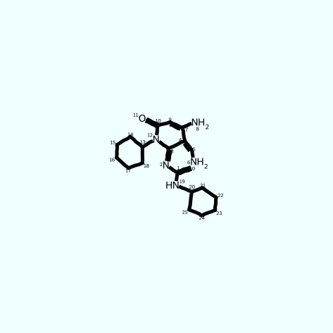 C=C(/N=C1\C(=C/N)C(N)=CC(=O)N1C1CCCCC1)NC1CCCCC1